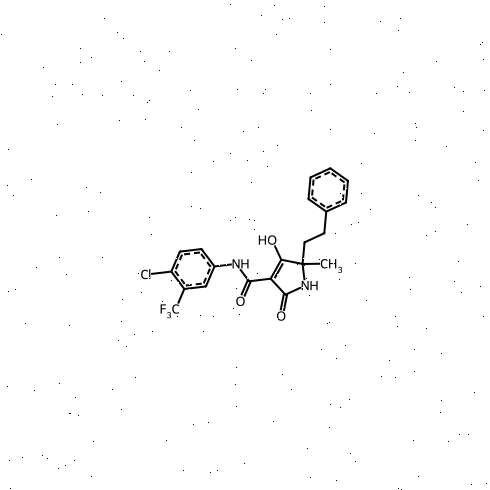 CC1(CCc2ccccc2)NC(=O)C(C(=O)Nc2ccc(Cl)c(C(F)(F)F)c2)=C1O